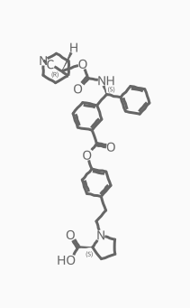 O=C(N[C@@H](c1ccccc1)c1cccc(C(=O)Oc2ccc(CCN3CCC[C@H]3C(=O)O)cc2)c1)O[C@H]1CN2CCC1CC2